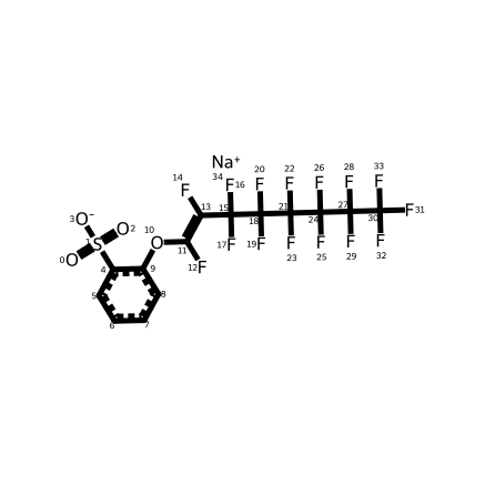 O=S(=O)([O-])c1ccccc1OC(F)=C(F)C(F)(F)C(F)(F)C(F)(F)C(F)(F)C(F)(F)C(F)(F)F.[Na+]